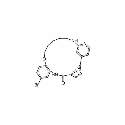 O=C1Nc2cc(Br)ccc2OCCCCCNc2cc(ccn2)-c2nc1cs2